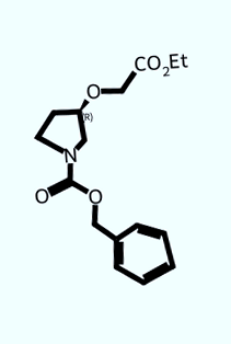 CCOC(=O)CO[C@@H]1CCN(C(=O)OCc2ccccc2)C1